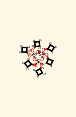 C1CC(O[Si]2(OC3CCC3)O[Si](OC3CCC3)(OC3CCC3)O[Si](OC3CCC3)(OC3CCC3)O2)C1